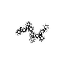 c1ccc2c(c1)oc1cc(-n3c4ccccc4c4cc5c(cc43)-c3cc(-c4ccc6c7ccccc7n(-c7ccc8c(c7)sc7ccccc78)c6c4)ccc3C53CCCCC3)ccc12